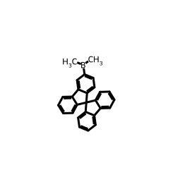 CB(C)c1ccc2c(c1)-c1ccccc1C21c2ccccc2-c2ccccc21